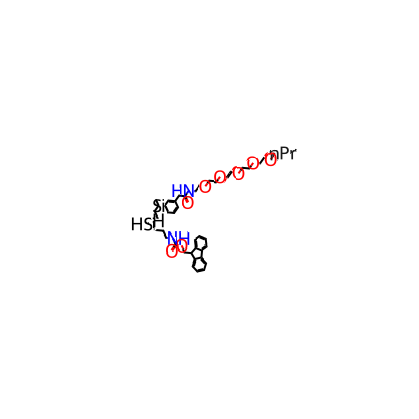 CCCOCCOCCOCCOCCOCCNC(=O)Cc1cccc([SiH](C)CC[SiH](C)CCCNC(=O)OCC2c3ccccc3-c3ccccc32)c1